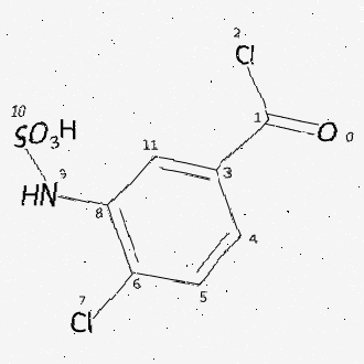 O=C(Cl)c1ccc(Cl)c(NS(=O)(=O)O)c1